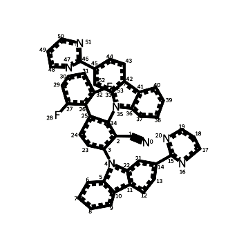 N#Cc1c(-n2c3ccccc3c3ccc(-c4ncccn4)cc32)ccc(-c2c(F)cccc2F)c1-n1c2ccccc2c2ccc(-c3ncccn3)cc21